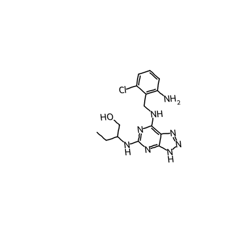 CCC(CO)Nc1nc(NCc2c(N)cccc2Cl)c2nn[nH]c2n1